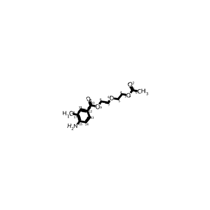 CC(=O)OCCOCCOC(=O)c1ccc(N)c(C)c1